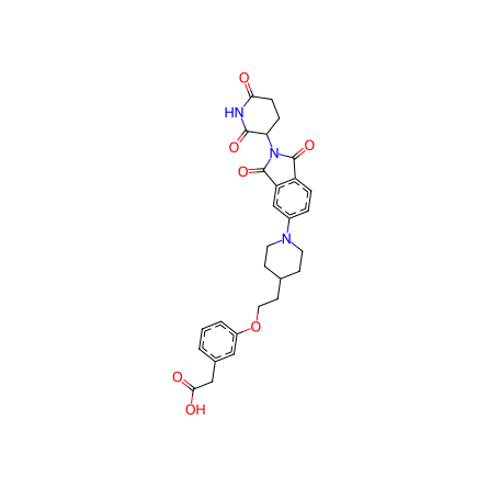 O=C(O)Cc1cccc(OCCC2CCN(c3ccc4c(c3)C(=O)N(C3CCC(=O)NC3=O)C4=O)CC2)c1